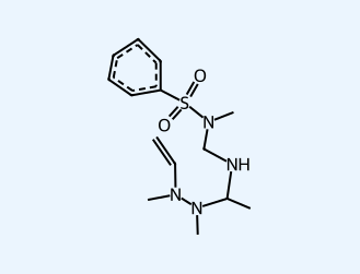 C=CN(C)N(C)C(C)NCN(C)S(=O)(=O)c1ccccc1